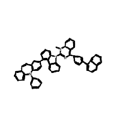 CN1C(n2c3ccccc3c3c(-c4ccc5c(c4)C=Cc4ccccc4N5c4ccccc4)cccc32)=NC(c2ccc(-c3cccc4ccccc34)cc2)=C2C=CC=CC21